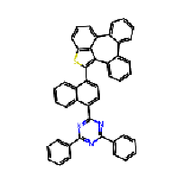 c1ccc(-c2nc(-c3ccccc3)nc(-c3ccc(-c4sc5cccc6c5c4-c4ccccc4-c4ccccc4-6)c4ccccc34)n2)cc1